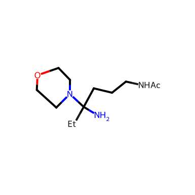 CCC(N)(CCCNC(C)=O)N1CCOCC1